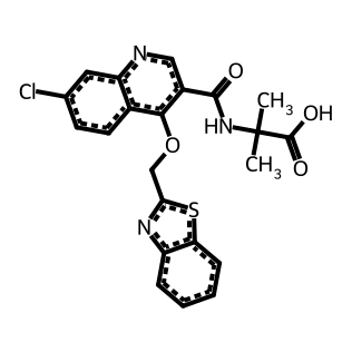 CC(C)(NC(=O)c1cnc2cc(Cl)ccc2c1OCc1nc2ccccc2s1)C(=O)O